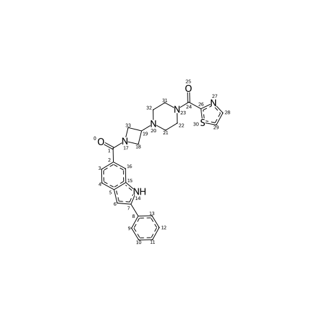 O=C(c1ccc2cc(-c3ccccc3)[nH]c2c1)N1CC(N2CCN(C(=O)c3nccs3)CC2)C1